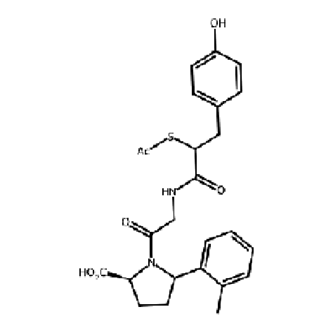 CC(=O)SC(Cc1ccc(O)cc1)C(=O)NCC(=O)N1C(c2ccccc2C)CC[C@H]1C(=O)O